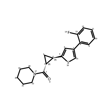 O=C([C@@H]1C[C@H]1c1cc(-c2ccccc2F)cs1)N1CCCCC1